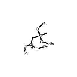 CC(C)O[SiH](C[Si](C)(OC(C)(C)C)OC(C)(C)C)OC(C)C